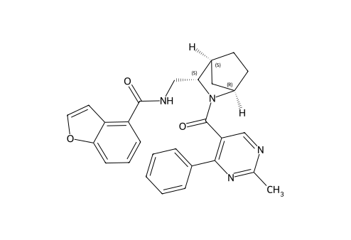 Cc1ncc(C(=O)N2[C@@H]3CC[C@@H](C3)[C@H]2CNC(=O)c2cccc3occc23)c(-c2ccccc2)n1